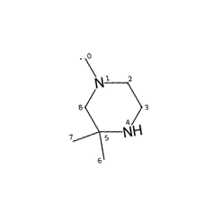 [CH2]N1CCNC(C)(C)C1